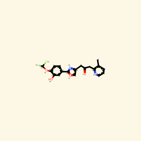 Cc1cccnc1CC(=O)Cc1coc(-c2ccc(OC(F)F)c(O)c2)n1